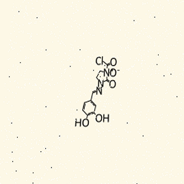 O=C(Cl)[N+]1([O-])CCN(N=Cc2ccc(O)c(O)c2)C1=O